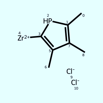 Cc1[pH][c]([Zr+2])c(C)c1C.[Cl-].[Cl-]